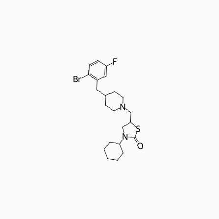 O=C1SC(CN2CCC(Cc3cc(F)ccc3Br)CC2)CN1C1CCCCC1